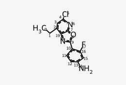 CCc1cc(Cl)nc2oc(-c3ccc(N)cc3F)nc12